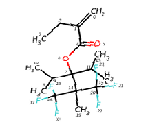 C=C(CC)C(=O)OC(C(C)C)(C(C)C)C(C)(C(F)(F)F)C(F)(F)F